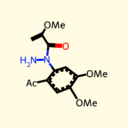 C=C(OC)C(=O)N(N)c1cc(OC)c(OC)cc1C(C)=O